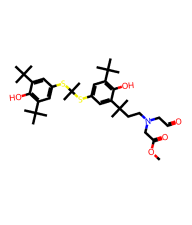 COC(=O)CN(CC=O)CCC(C)(C)c1cc(SC(C)(C)Sc2cc(C(C)(C)C)c(O)c(C(C)(C)C)c2)cc(C(C)(C)C)c1O